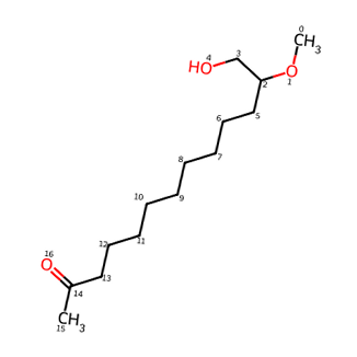 COC(CO)CCCCCCCCCC(C)=O